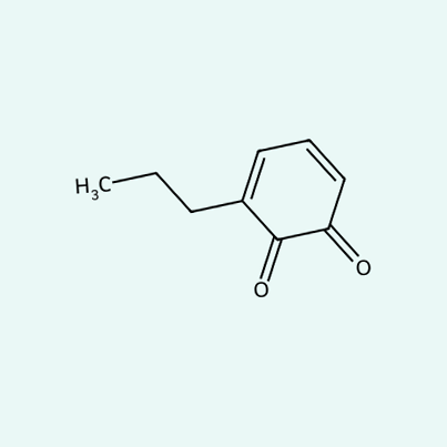 CCCC1=CC=CC(=O)C1=O